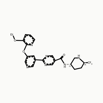 CCOc1cccnc1Oc1cncc(-c2ncc(C(=O)N[C@H]3CC[C@H](C(F)(F)F)NC3)cn2)c1